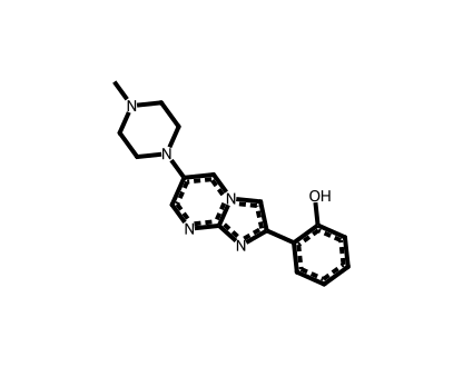 CN1CCN(c2cnc3nc(-c4ccccc4O)cn3c2)CC1